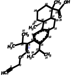 C#CCO/N=C(/c1cc2c(cc1C(C)C)CCC1C(C)(C(=O)O)CCC[C@]21C)C(C)C